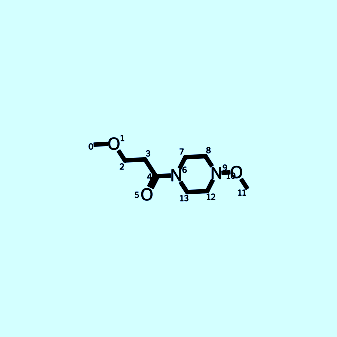 COCCC(=O)N1CCN(OC)CC1